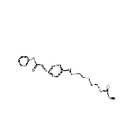 C=CC(=O)OCCCCCCOc1ccc(/C=C/C(=O)Oc2ccccc2)cc1